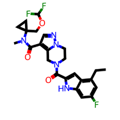 CCc1cc(F)cc2[nH]c(C(=O)N3CCn4ncc(C(=O)N(C)C5(COC(F)F)CC5)c4C3)cc12